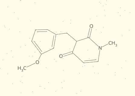 COc1cccc(CC2C(=O)C=CN(C)C2=O)c1